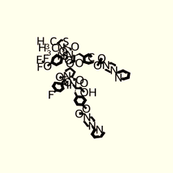 CC1(C)CS[C@@H](C(=O)N([C@@H](Cc2ccc(OC(=O)N3CCN(c4ccccn4)CC3)cc2)C(=O)OC2C[C@@H](C(=O)N[C@@H](Cc3ccc(OC(=O)N4CCN(c5ccccn5)CC4)cc3)C(=O)O)N(S(=O)(=O)c3ccc(F)cc3)C2)S(=O)(=O)c2ccc(OC(F)(F)F)cc2)N1